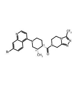 C[C@@H]1CN(c2ccnc3cc(Br)ccc23)CC[C@@H]1C(=O)N1CCn2c(nnc2C(F)(F)F)C1